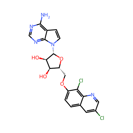 Nc1ncnc2c1ccn2[C@@H]1O[C@H](COc2ccc3cc(Cl)cnc3c2Cl)[C@@H](O)[C@H]1O